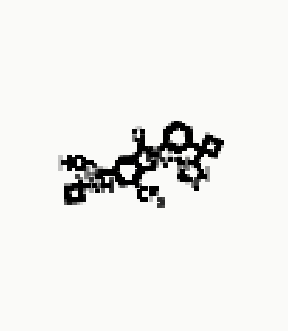 Cn1cnnc1C1(c2cccc(N3Cc4c(cc([C@@H](CO)NC5(C)CCC5)cc4C(F)(F)F)C3=O)c2)CCC1